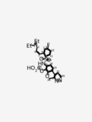 CCN(CC)C/C=C\c1cc(F)ccc1S(=O)(=O)Nc1ccc2c(c1OC(=O)O)OCc1nnccc1-2